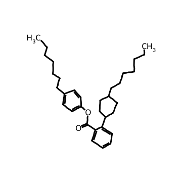 CCCCCCCc1ccc(OC(=O)c2ccccc2C2CCC(CCCCCCC)CC2)cc1